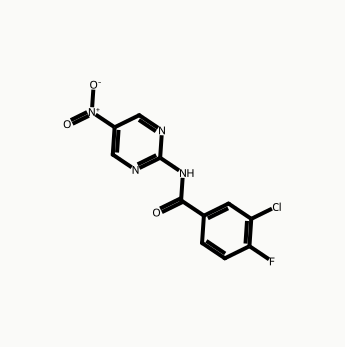 O=C(Nc1ncc([N+](=O)[O-])cn1)c1ccc(F)c(Cl)c1